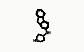 c1ccc2c(c1)Cc1cc(NC3CCNCC3)ccc1-2